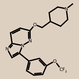 CN1CCC(COc2ccc3ncc(-c4cccc(OC(F)(F)F)c4)n3n2)CC1